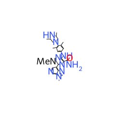 CNc1nc(Nc2cc(C)c(N3CC(C)NC(C)C3)c(C)c2)c(C(N)=O)nc1-c1cncc2c1ncn2C